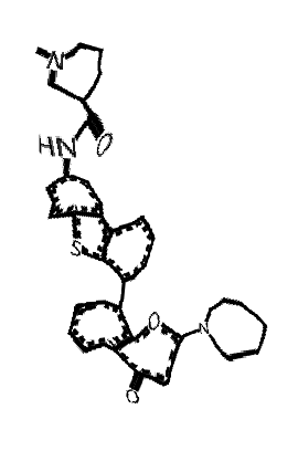 CN1CCCC(C(=O)Nc2ccc3sc4c(-c5cccc6c(=O)cc(N7CCCCC7)oc56)cccc4c3c2)C1